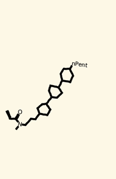 C=CC(=O)N(C)CCCC1CCC(C2CCC(C3CCC(CCCCC)CC3)CC2)CC1